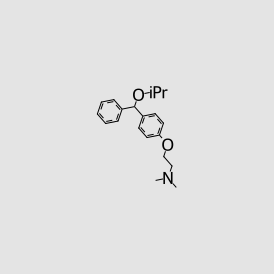 CC(C)OC(c1ccccc1)c1ccc(OCCN(C)C)cc1